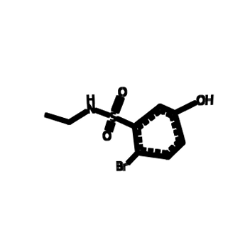 CCNS(=O)(=O)c1cc(O)ccc1Br